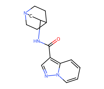 O=C(NC1CN2CCC1CC2)c1cnn2ccccc12